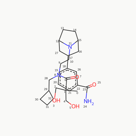 CC(CO)(CO)C(=O)N(CCN1C2CCC1CC(c1cccc(C(N)=O)c1)C2)CC1CCC1